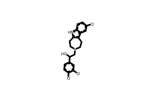 OC(CN1CCc2[nH]c3ccc(Cl)cc3c2CC1)c1ccc(Cl)c(Cl)c1